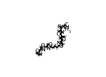 CCNC(=O)c1coc(-c2coc(-c3coc(C/C=C/c4nc(-c5nc(-c6ncco6)co5)co4)n3)n2)n1